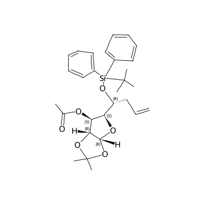 C=CC[C@@H](O[Si](c1ccccc1)(c1ccccc1)C(C)(C)C)[C@H]1O[C@@H]2OC(C)(C)O[C@@H]2[C@H]1OC(C)=O